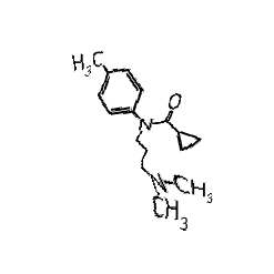 Cc1ccc(N(CCCN(C)C)C(=O)C2CC2)cc1